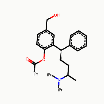 CC(C)C(=O)Oc1ccc(CO)cc1[C@H](CCC(C)N(C(C)C)C(C)C)c1ccccc1